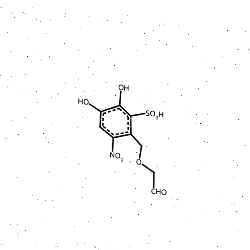 O=CCOCc1c([N+](=O)[O-])cc(O)c(O)c1S(=O)(=O)O